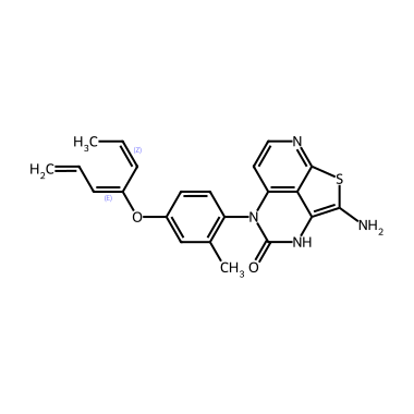 C=C/C=C(\C=C/C)Oc1ccc(N2C(=O)Nc3c(N)sc4nccc2c34)c(C)c1